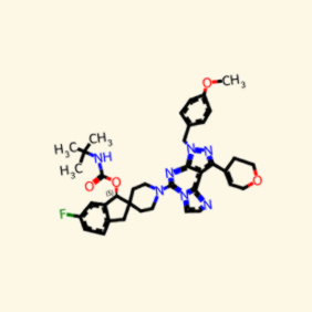 COc1ccc(Cn2nc(C3=CCOCC3)c3c2nc(N2CCC4(CC2)Cc2ccc(F)cc2[C@H]4OC(=O)NC(C)(C)C)n2ccnc32)cc1